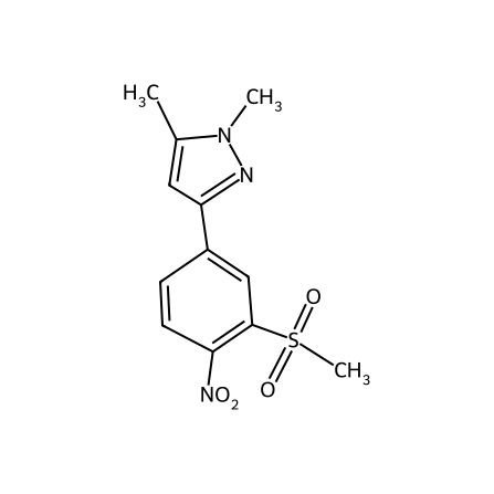 Cc1cc(-c2ccc([N+](=O)[O-])c(S(C)(=O)=O)c2)nn1C